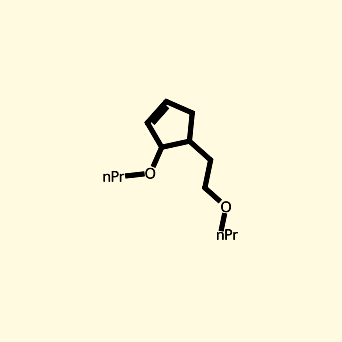 CCCOCCC1CC=CC1OCCC